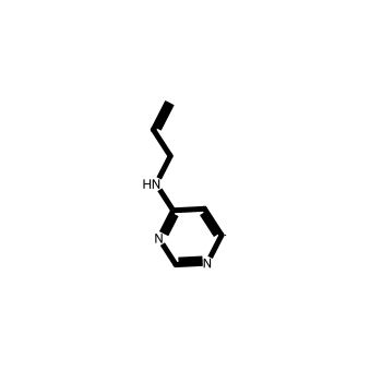 C=CCNc1c[c]ncn1